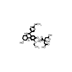 CCOc1cc2c(cc1OC)C(c1cnc(SC)nc1)=N[C@@H]1CC[C@@H](O)C[C@H]21.O=C(O)CC(O)(CC(=O)O)C(=O)O